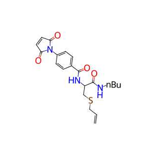 C=CCSCC(NC(=O)c1ccc(N2C(=O)C=CC2=O)cc1)C(=O)NCCCC